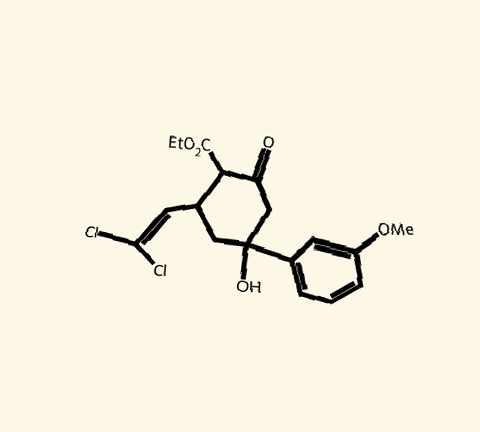 CCOC(=O)C1C(=O)CC(O)(c2cccc(OC)c2)CC1C=C(Cl)Cl